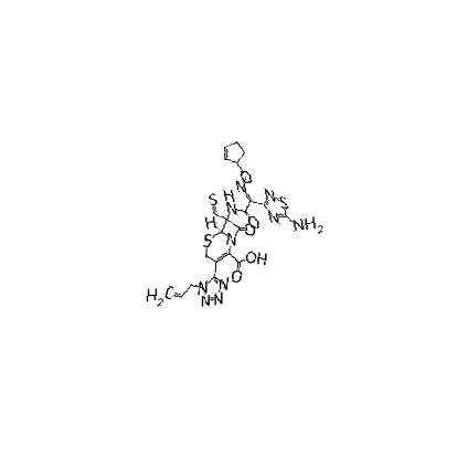 C=CCn1nnnc1C1=C(C(=O)O)N2C(=O)C(C=S)(NC(=O)C(=NOC3C=CCC3)c3nsc(N)n3)[C@@H]2SC1